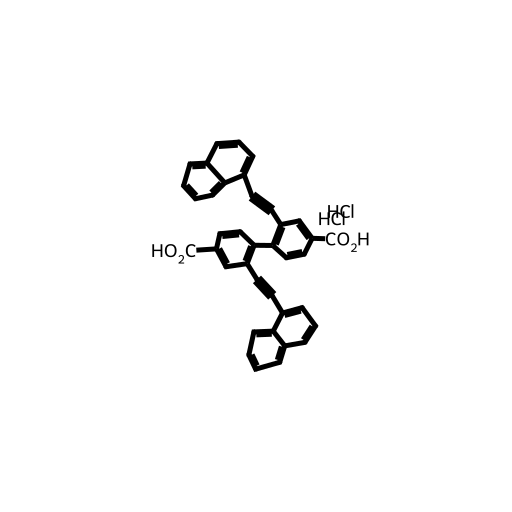 Cl.Cl.O=C(O)c1ccc(-c2ccc(C(=O)O)cc2C#Cc2cccc3ccccc23)c(C#Cc2cccc3ccccc23)c1